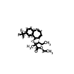 CCCC(C)(SC1C=CC=Nc2ccc(C(F)(F)F)cc21)C(=O)OCC